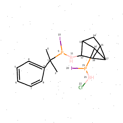 CC(C)(c1ccccc1)P(I)BC1C2CC3C1C3C2P(I)BCl